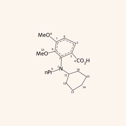 CCCN(c1c(C(=O)O)ccc(OC)c1OC)C1CCCCC1